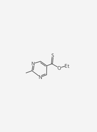 CCOC(=S)c1cnc(C)nc1